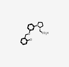 O=C(O)C[C@@H]1CCCN1c1cccc(OCc2ccccc2Cl)c1